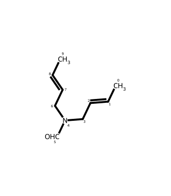 CC=CCN(C=O)CC=CC